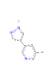 Cc1cncc(-c2cnn(C)c2)c1